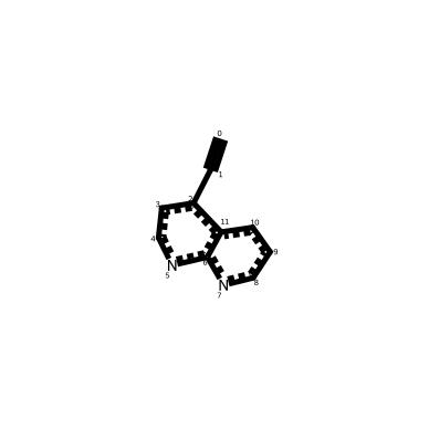 C#Cc1ccnc2ncccc12